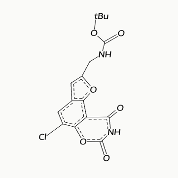 CC(C)(C)OC(=O)NCc1cc2cc(Cl)c3oc(=O)[nH]c(=O)c3c2o1